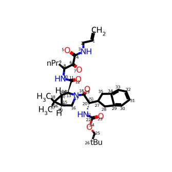 C=CCNC(=O)C(=O)C(CCC)NC(=O)[C@@H]1[C@H]2[C@@H](CN1C(=O)[C@@H](NC(=O)OCC(C)(C)C)C1Cc3ccccc3C1)C2(C)C